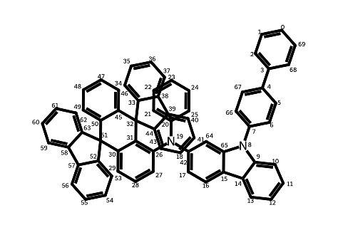 c1ccc(-c2ccc(-n3c4ccccc4c4ccc(N(c5ccccc5)c5cccc6c5C5(c7ccccc7-c7ccccc75)c5ccccc5C65c6ccccc6-c6ccccc65)cc43)cc2)cc1